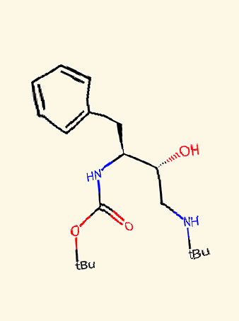 CC(C)(C)NC[C@@H](O)[C@H](Cc1ccccc1)NC(=O)OC(C)(C)C